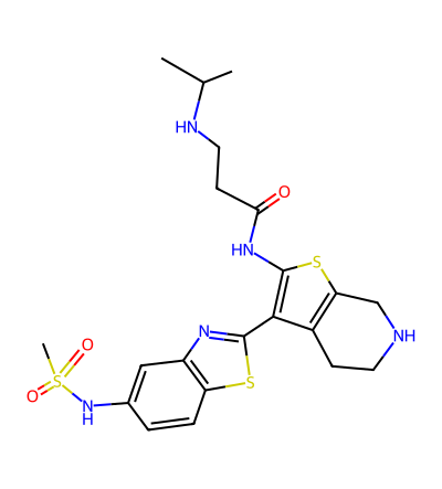 CC(C)NCCC(=O)Nc1sc2c(c1-c1nc3cc(NS(C)(=O)=O)ccc3s1)CCNC2